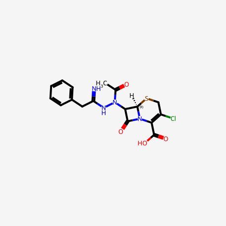 CC(=O)N(NC(=N)Cc1ccccc1)C1C(=O)N2C(C(=O)O)=C(Cl)CS[C@H]12